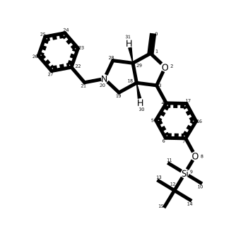 C=C1OC(c2ccc(O[Si](C)(C)C(C)(C)C)cc2)[C@@H]2CN(Cc3ccccc3)C[C@H]12